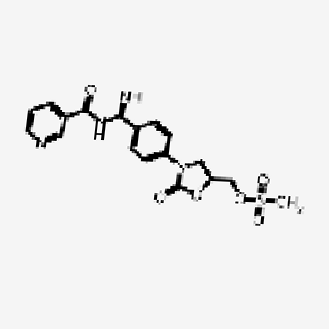 CS(=O)(=O)OCC1CN(c2ccc(C(=N)NC(=O)c3cccnc3)cc2)C(=O)O1